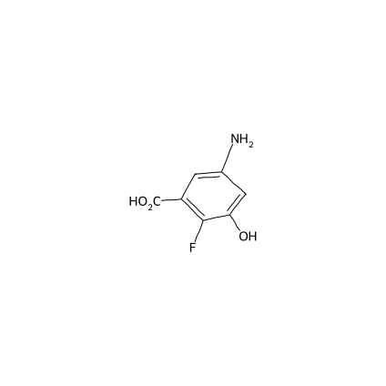 Nc1cc(O)c(F)c(C(=O)O)c1